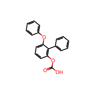 O=C(O)Oc1cccc(Oc2ccccc2)c1-c1ccccc1